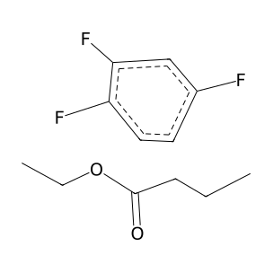 CCCC(=O)OCC.Fc1ccc(F)c(F)c1